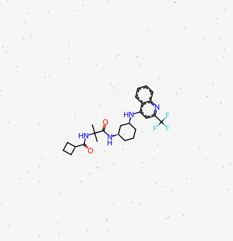 CC(C)(NC(=O)C1CCC1)C(=O)N[C@@H]1CCC[C@H](Nc2cc(C(F)(F)F)nc3ccccc23)C1